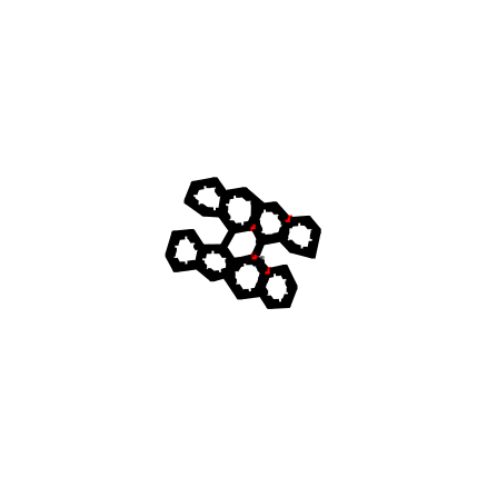 c1ccc([As](c2ccccc2)c2ccc3ccccc3c2-c2c([As](c3ccccc3)c3ccccc3)ccc3ccccc23)cc1